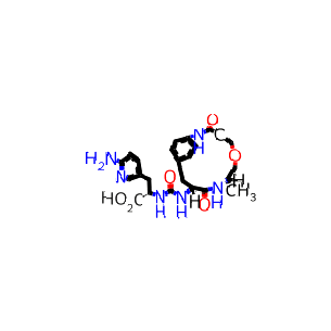 C[C@H]1COCCC(=O)Nc2ccc(cc2)C[C@@H](NC(=O)N[C@@H](Cc2ccc(N)nc2)C(=O)O)C(=O)N1